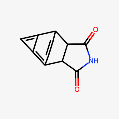 O=C1NC(=O)C2C3C=CC(=C4C=C43)C12